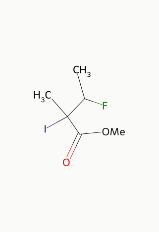 COC(=O)C(C)(I)C(C)F